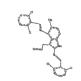 O=CCc1c(/N=C/c2c(Cl)cccc2Cl)[nH]c2ccc(O)c(/N=C/c3c(Cl)cccc3Cl)c12